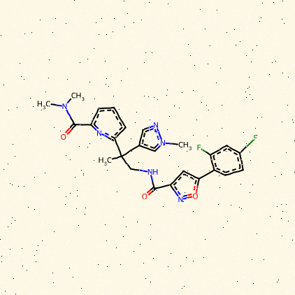 CN(C)C(=O)c1cccc(C(C)(CNC(=O)c2cc(-c3ccc(F)cc3F)on2)c2cnn(C)c2)n1